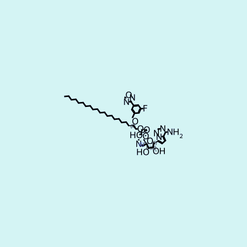 CCCCCCCCCCCCCCCCCCC[C@H](COP(=O)(O)OC[C@@]1(/C=N\C)O[C@@H](c2ccc3c(N)ncnn23)[C@H](O)[C@@H]1O)OCc1cc(F)cc(-c2ncon2)c1